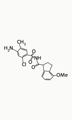 COc1cccc2c1CCC2C(=O)NS(=O)(=O)c1cc(C)c(N)cc1Cl